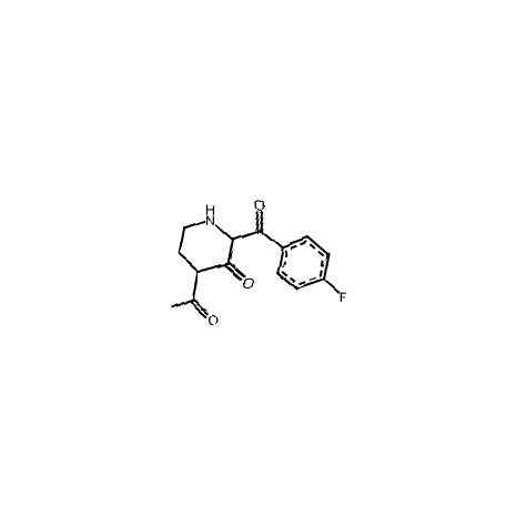 CC(=O)C1CCNC(C(=O)c2ccc(F)cc2)C1=O